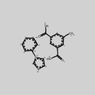 Cc1cc(C(=O)O)cc(C(=O)O)c1.c1ccc(-n2ccnc2)cc1